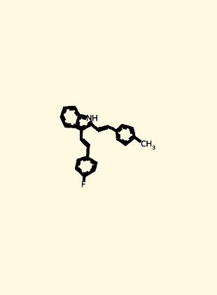 Cc1ccc(/C=C/c2[nH]c3ccccc3c2/C=C/c2ccc(F)cc2)cc1